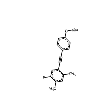 CCCCOc1ccc(C#Cc2cc(F)c(C)cc2C)cc1